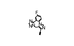 C#Cc1ncn2c1Cn1ncnc1-c1cc(F)ccc1-2